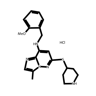 COc1ccccc1CNc1cc(SC2CCNCC2)nn2c(C)cnc12.Cl